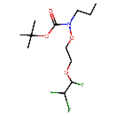 CCCN(OCCOC(F)C(F)F)C(=O)OC(C)(C)C